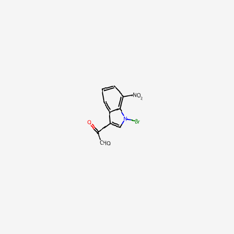 O=CC(=O)c1cn(Br)c2c([N+](=O)[O-])cccc12